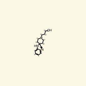 N#CC1(Nc2ccccc2)CCN(CCCO)CC1